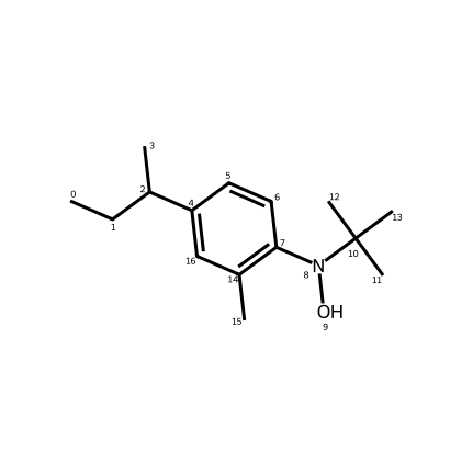 CCC(C)c1ccc(N(O)C(C)(C)C)c(C)c1